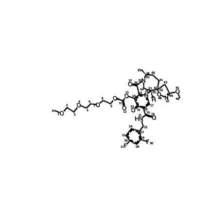 COCCOCCOCCOC(=O)Oc1c2n(cc(C(=O)NCc3ccc(F)cc3F)c1=O)[C@@H]1CN(C2=O)[C@@H](C)CC[C@]12CC(OC)=NO2